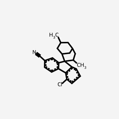 CC1CC2CC(C)C3(c4cc(C#N)ccc4-c4c(Cl)cccc43)C(C1)C2